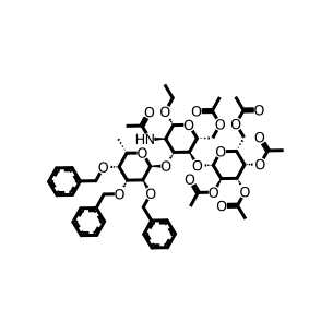 CCO[C@@H]1O[C@H](COC(C)=O)[C@@H](O[C@@H]2O[C@H](COC(C)=O)[C@H](OC(C)=O)[C@H](OC(C)=O)[C@H]2OC(C)=O)[C@H](O[C@@H]2O[C@@H](C)[C@@H](OCc3ccccc3)[C@@H](OCc3ccccc3)[C@@H]2OCc2ccccc2)[C@H]1NC(C)=O